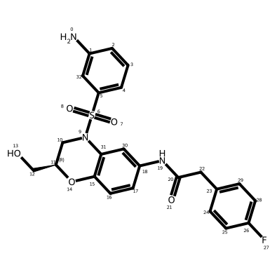 Nc1cccc(S(=O)(=O)N2C[C@H](CO)Oc3ccc(NC(=O)Cc4ccc(F)cc4)cc32)c1